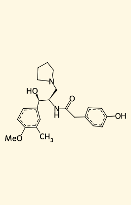 COc1ccc([C@@H](O)[C@@H](CN2CCCC2)NC(=O)Cc2ccc(O)cc2)cc1C